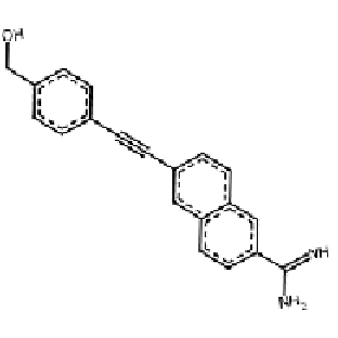 N=C(N)c1ccc2cc(C#Cc3ccc(CO)cc3)ccc2c1